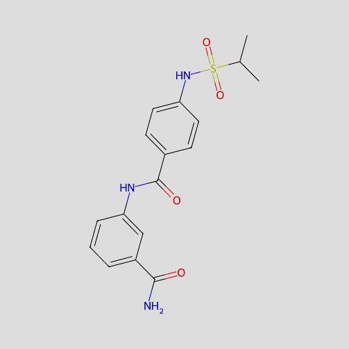 CC(C)S(=O)(=O)Nc1ccc(C(=O)Nc2cccc(C(N)=O)c2)cc1